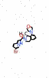 CC1c2c(cccc2N2CCOCC2)CCN1C(=O)c1cc2ccc(Br)cn2n1